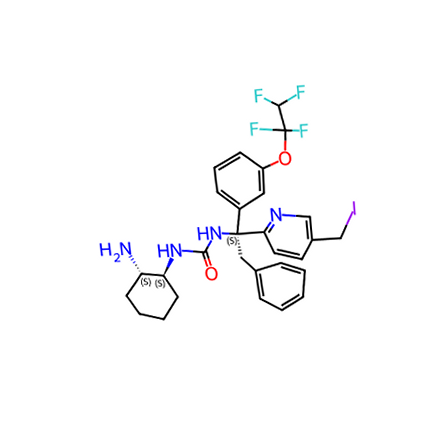 N[C@H]1CCCC[C@@H]1NC(=O)N[C@@](Cc1ccccc1)(c1cccc(OC(F)(F)C(F)F)c1)c1ccc(CI)cn1